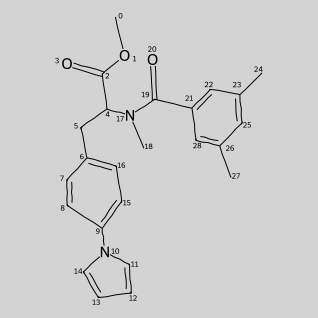 COC(=O)C(Cc1ccc(-n2cccc2)cc1)N(C)C(=O)c1cc(C)cc(C)c1